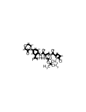 CC(C)(C)OC(=O)NC(CNC(=O)c1ccc(Cl)s1)C(=O)Nc1ccc(N2CCOCC2=O)cc1C(F)F